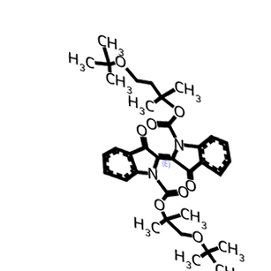 CC(C)(C)OCCC(C)(C)OC(=O)N1/C(=C2\C(=O)c3ccccc3N2C(=O)OC(C)(C)COC(C)(C)C)C(=O)c2ccccc21